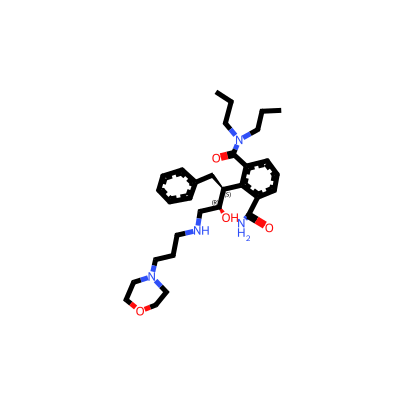 CCCN(CCC)C(=O)c1cccc(C(N)=O)c1[C@H](Cc1ccccc1)[C@@H](O)CNCCCN1CCOCC1